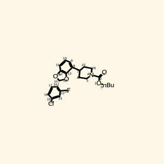 CCCCOC(=O)N1CCC(c2cccc3c2O[C@H](c2ccc(Cl)cc2F)O3)CC1